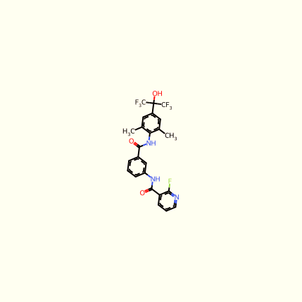 Cc1cc(C(O)(C(F)(F)F)C(F)(F)F)cc(C)c1NC(=O)c1cccc(NC(=O)c2cccnc2F)c1